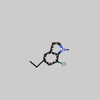 [CH2]Cc1cc(Cl)c2c(ccn2C)c1